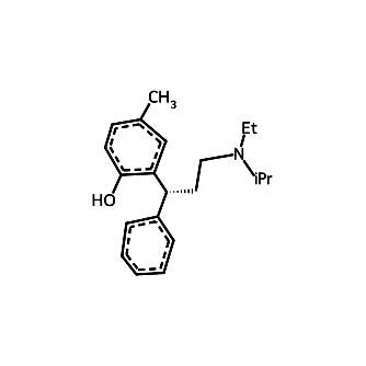 CCN(CC[C@H](c1ccccc1)c1cc(C)ccc1O)C(C)C